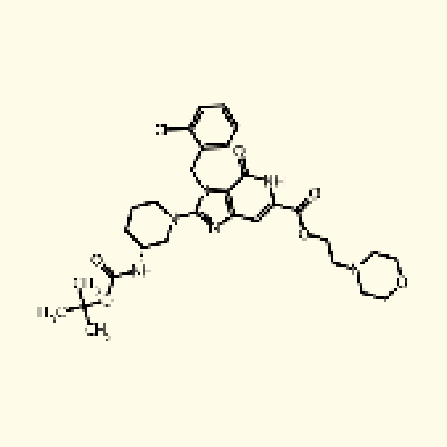 CC(C)(C)OC(=O)N[C@@H]1CCCN(c2nc3cc(C(=O)OCCN4CCOCC4)[nH]c(=O)c3n2Cc2ccccc2Cl)C1